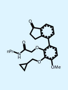 CCCNC(=O)COc1c(-c2cccc3c2CCC3=O)ccc(OC)c1OCC1CC1